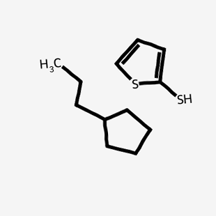 CCCC1CCCC1.Sc1cccs1